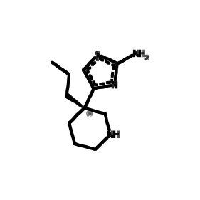 CCC[C@]1(c2csc(N)n2)CCCNC1